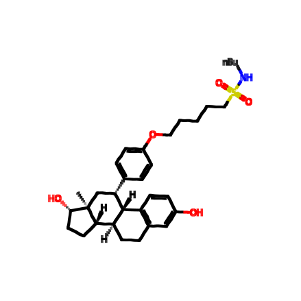 CCCCNS(=O)(=O)CCCCCOc1ccc([C@H]2C[C@]3(C)[C@@H](O)CC[C@H]3[C@@H]3CCc4cc(O)ccc4[C@H]32)cc1